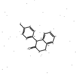 Cc1ccc(C2C(=O)CCc3ccccc32)cc1